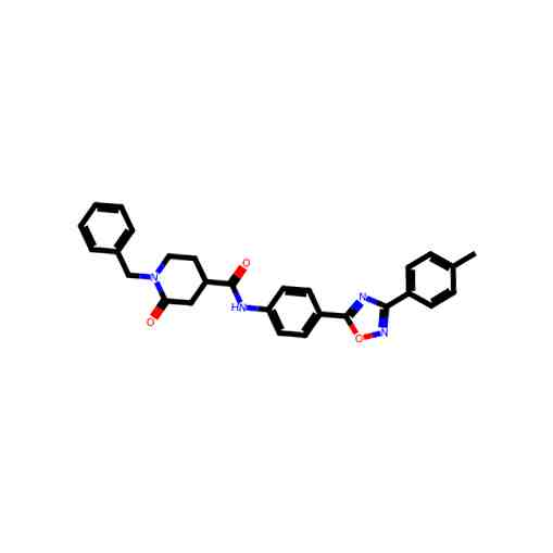 Cc1ccc(-c2noc(-c3ccc(NC(=O)C4CCN(Cc5ccccc5)C(=O)C4)cc3)n2)cc1